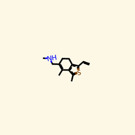 C=Cc1sc(C)c2c1CCC(CNC)=C2C